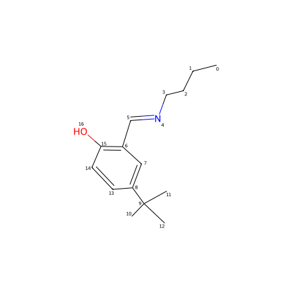 CCCCN=Cc1cc(C(C)(C)C)ccc1O